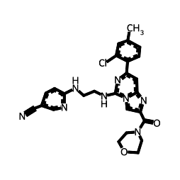 Cc1ccc(-c2cc3nc(C(=O)N4CCOCC4)cn3c(NCCNc3ccc(C#N)cn3)n2)c(Cl)c1